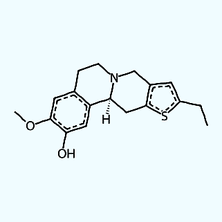 CCc1cc2c(s1)C[C@H]1c3cc(O)c(OC)cc3CCN1C2